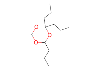 CCCC1OCOC(CCC)(CCC)O1